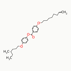 C=CCCCCCCCOc1ccc(C(=O)Oc2ccc(OCCC[C@@H](C)CC)cc2)cc1